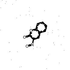 O=Nc1cc2ccccc2oc1=O